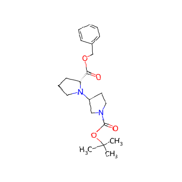 CC(C)(C)OC(=O)N1CCC(N2CCC[C@@H]2C(=O)OCc2ccccc2)C1